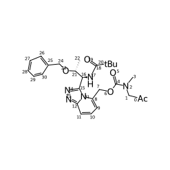 CC(=O)CN(C)C(=O)OCc1cccc2nnc([C@H](NC(=O)C(C)(C)C)[C@@H](C)OCc3ccccc3)n12